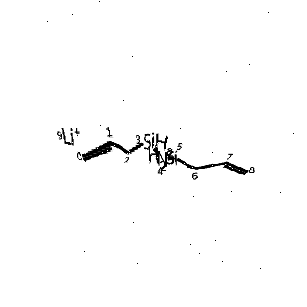 C=CC[SiH2][N-][SiH2]CC=C.[Li+]